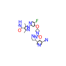 CNC(=O)c1c(C)nn(-c2cc(OC3CN(C(=O)N4N=CCC4c4cncc(C#N)c4)C3)c(F)cn2)c1C